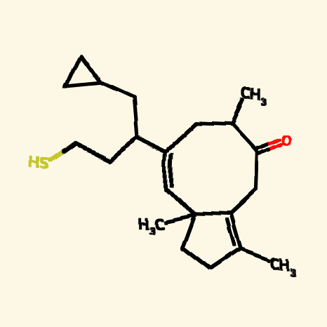 CC1=C2CC(=O)C(C)C/C(C(CCS)CC3CC3)=C\C2(C)CC1